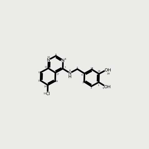 Oc1ccc(CNc2ncnc3ccc(Cl)cc23)cc1O